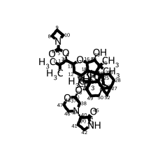 CC(C)[C@@H](OC(=O)N1CCC1)C1C[C@@H](C)[C@H]2C(O1)[C@H](O)C(C)(C)[C@]2(C)CC[C@]12CCC[C@H]3C(C)(C)[C@@H](O[C@H]4CN([C@@H]5CCNC5=O)CCO4)CC[C@@]31C2